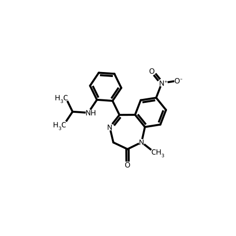 CC(C)Nc1ccccc1C1=NCC(=O)N(C)c2ccc([N+](=O)[O-])cc21